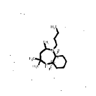 CCCCN1C(C)CC(C)(C)N[C@@H]2CCCC[C@@H]21